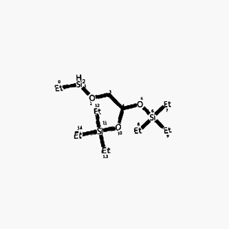 CC[SiH2]OCC(O[Si](CC)(CC)CC)O[Si](CC)(CC)CC